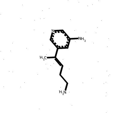 CC(=CCCN)c1cncc(N)c1